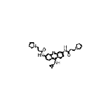 O=C(CCN1CCCC1)Nc1ccc2c(NC3CC3)c3ccc(NC(=O)CCN4CCCC4)cc3nc2c1